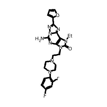 CCn1c(=O)n(CCN2CCN(c3ccc(F)cc3F)CC2)c2nc(N)n3nc(-c4ccco4)nc3c21